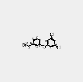 Clc1cc(Cl)cc(Oc2cccc(CBr)c2)c1